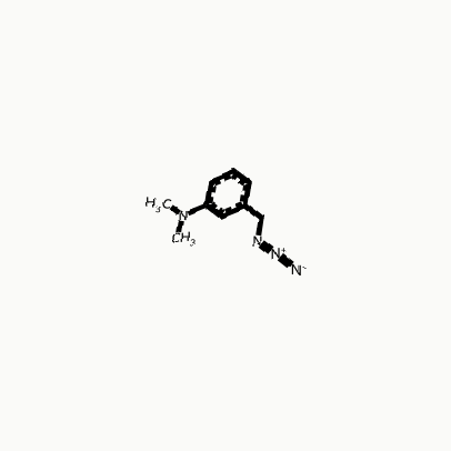 CN(C)c1cccc(CN=[N+]=[N-])c1